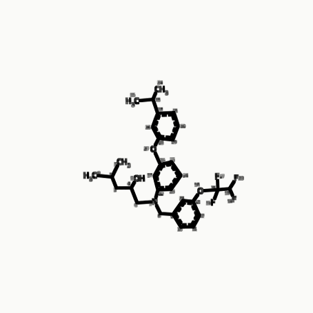 CC(C)CC(O)CN(Cc1cccc(OC(F)(F)C(F)F)c1)c1cccc(Oc2cccc(C(C)C)c2)c1